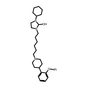 CC(C)Oc1ccccc1C1CCN(CCCCCCN2CCN(C3CCCCC3)C2O)CC1